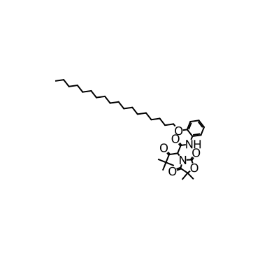 CCCCCCCCCCCCCCCCCCOc1ccccc1NC(=O)C(C(=O)C(C)(C)C)N1C(=O)OC(C)(C)C1=O